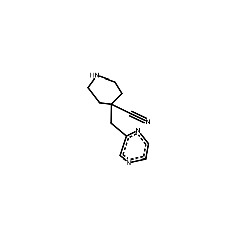 N#CC1(Cc2cnccn2)CCNCC1